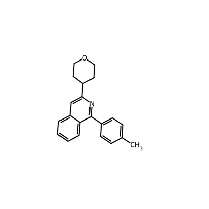 Cc1ccc(-c2nc(C3CCOCC3)cc3ccccc23)cc1